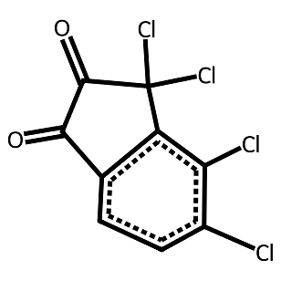 O=C1C(=O)C(Cl)(Cl)c2c1ccc(Cl)c2Cl